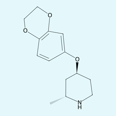 C[C@@H]1C[C@@H](Oc2ccc3c(c2)OCCO3)CCN1